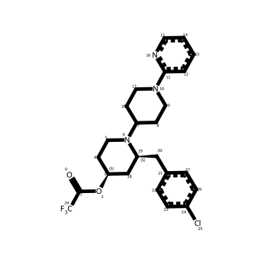 O=C(O[C@H]1CCN(C2CCN(c3ccccn3)CC2)[C@@H](Cc2ccc(Cl)cc2)C1)C(F)(F)F